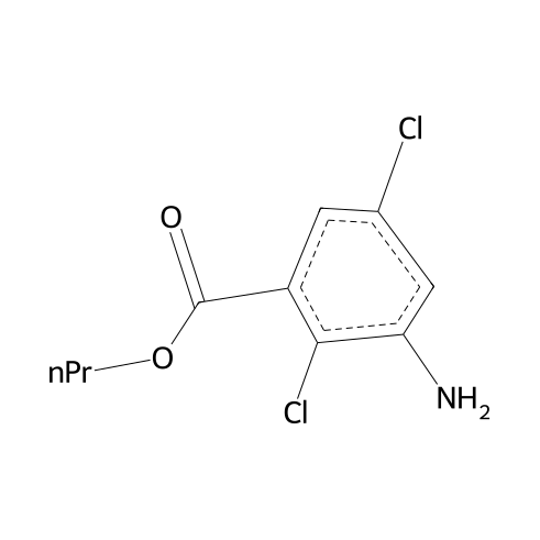 CCCOC(=O)c1cc(Cl)cc(N)c1Cl